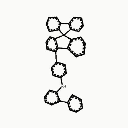 c1ccc(-c2ccccc2Nc2ccc(-c3cccc4c3-c3ccccc3C43c4ccccc4-c4ccccc43)cc2)cc1